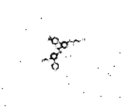 O=C(Nc1ccc(OCF)c(N2CCOCC2)n1)c1cnc(SNCCO)cc1N1CCC2(CC1)CC2